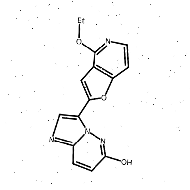 CCOc1nccc2oc(-c3cnc4ccc(O)nn34)cc12